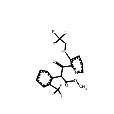 COC(=O)C(C(=O)c1ncccc1NCC(F)(F)F)c1ccccc1C(F)(F)F